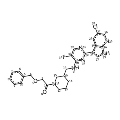 O=C(COCc1ccccc1)N1CCCC(CNc2nc(-c3c[nH]c4ncc(Cl)cc34)ncc2F)C1